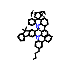 CCCCc1ccc(N2c3cc4c(cc3B3c5c(cc(C)cc52)-c2cccc5c2N3c2ccccc2C52c3ccccc3-c3ccccc32)C(C)(C)c2ccccc2-4)c(-c2ccccc2)c1